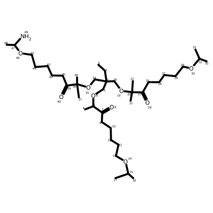 CCC(COC(C)C(=O)CCCCCOC(C)C)(COC(C)(C)C(=O)CCCCCOC(C)C)COC(C)(C)C(=O)CCCCCOC(C)N